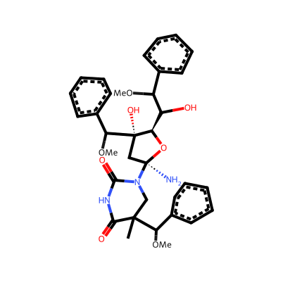 COC(c1ccccc1)C(O)[C@H]1O[C@@](N)(N2CC(C)(C(OC)c3ccccc3)C(=O)NC2=O)C[C@@]1(O)C(OC)c1ccccc1